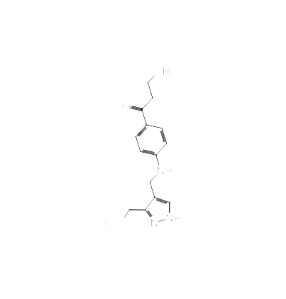 CCCC(=O)c1ccc(NCc2c[nH]nc2CC)cc1